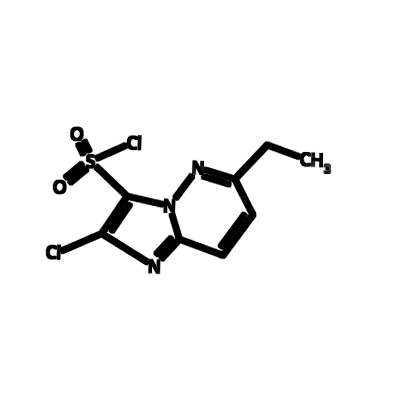 CCc1ccc2nc(Cl)c(S(=O)(=O)Cl)n2n1